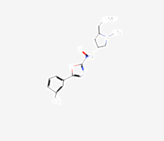 COCC1C[C@@H](NC(=O)c2ncc(-c3cccc(C(F)(F)F)c3)o2)CN1C#N